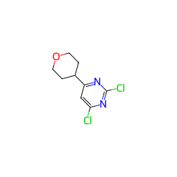 Clc1cc(C2CCOCC2)nc(Cl)n1